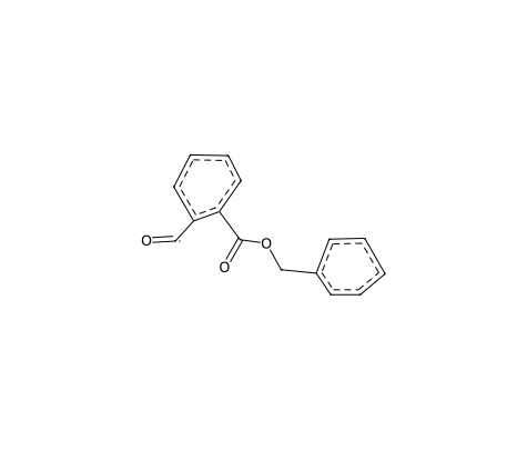 O=[C]c1ccccc1C(=O)OCc1ccccc1